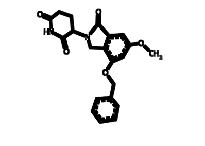 COc1cc(OCc2ccccc2)c2c(c1)C(=O)N(C1CCC(=O)NC1=O)C2